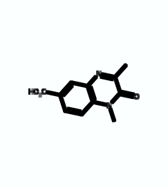 Cc1nc2cc(C(=O)O)ccc2n(C)c1=O